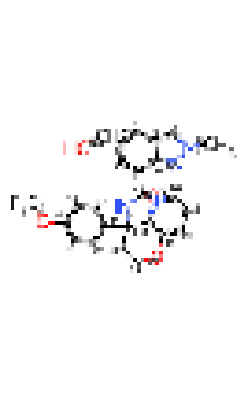 Cn1cc2cccc(C(=O)NC3(c4ccc(OC(F)(F)F)cc4)CCOc4cccnc43)c2n1.O=CO